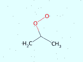 [CH2]C(C)O[O]